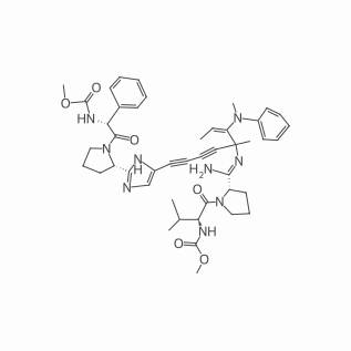 C/C=C(/N(C)c1ccccc1)C(C)(C#CC#Cc1cnc([C@@H]2CCCN2C(=O)[C@H](NC(=O)OC)c2ccccc2)[nH]1)/N=C(\N)[C@@H]1CCCN1C(=O)[C@@H](NC(=O)OC)C(C)C